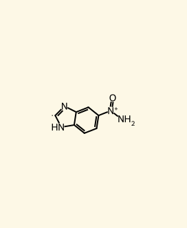 N[N+](=O)c1ccc2[nH][c]nc2c1